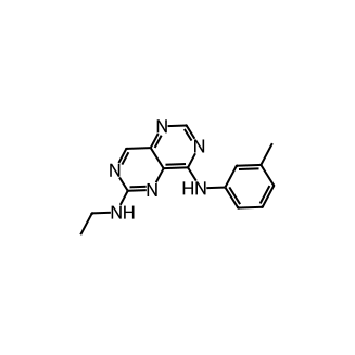 CCNc1ncc2ncnc(Nc3cccc(C)c3)c2n1